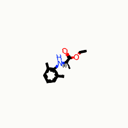 CCOC(=O)[C@@H](C)Nc1c(C)cccc1C